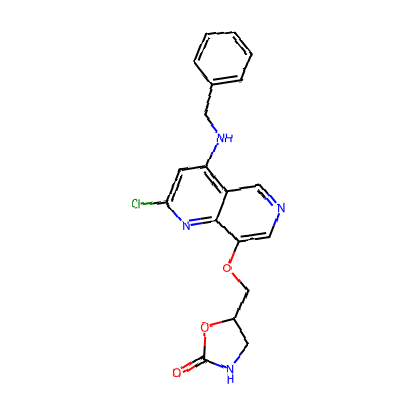 O=C1NCC(COc2cncc3c(NCc4ccccc4)cc(Cl)nc23)O1